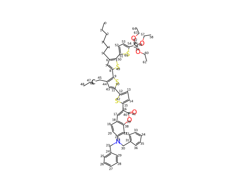 CCCCCCc1cc(-c2sc(-c3ccc(-c4cc5ccc(N(Cc6ccccc6)Cc6ccccc6)cc5oc4=O)s3)cc2CCCC)sc1-c1ccc([Si](OCC)(OCC)OCC)s1